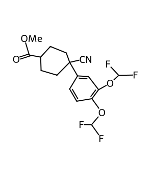 COC(=O)C1CCC(C#N)(c2ccc(OC(F)F)c(OC(F)F)c2)CC1